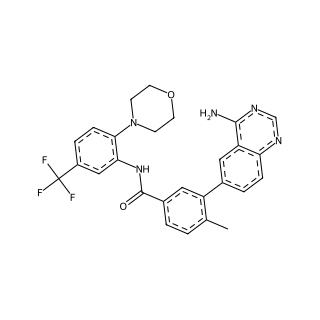 Cc1ccc(C(=O)Nc2cc(C(F)(F)F)ccc2N2CCOCC2)cc1-c1ccc2ncnc(N)c2c1